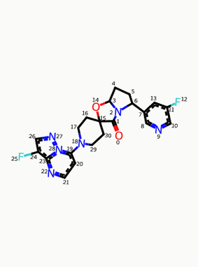 O=C1N2C(CCC2c2cncc(F)c2)OC12CCN(c1ccnc3c(F)cnn13)CC2